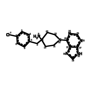 NC1(Cc2ccc(Cl)cc2)CCN(c2ncnc3[nH]cnc23)CC1